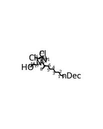 CCCCCCCCCCCCCCCCC(C)C1N(C)C(Cl)C(Cl)N1CCO